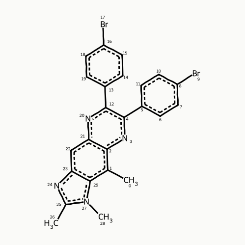 Cc1c2nc(-c3ccc(Br)cc3)c(-c3ccc(Br)cc3)nc2cc2nc(C)n(C)c12